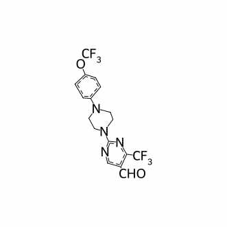 O=Cc1cnc(N2CCN(c3ccc(OC(F)(F)F)cc3)CC2)nc1C(F)(F)F